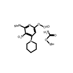 CC(C)(C)OC(N)=O.CNc1nc(OC=O)cc(N2CCCCC2)c1[N+](=O)[O-]